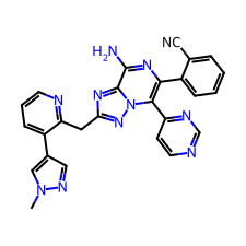 Cn1cc(-c2cccnc2Cc2nc3c(N)nc(-c4ccccc4C#N)c(-c4ccncn4)n3n2)cn1